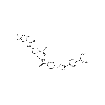 COC(CO)c1ccc(-c2ncc(-c3cnc(C(=O)NC[C@H]4C[C@@H](NC(=O)[C@@H]5CC(F)(F)CN5)CN4C(=O)C(C)C)nc3)o2)cc1